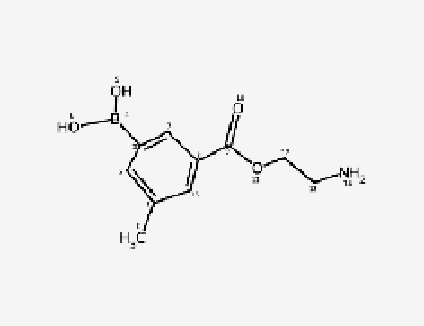 Cc1cc(B(O)O)cc(C(=O)OCCN)c1